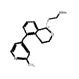 CNCC[C@@H]1OCCc2c(-c3ccnc(C)c3)cccc21